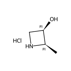 C[C@H]1NC[C@H]1O.Cl